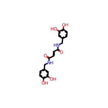 O=C(C=CC(=O)NCc1ccc(O)c(O)c1)NCc1ccc(O)c(O)c1